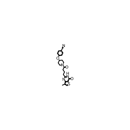 Cc1csc2c(=O)[nH]c(CCCC(=O)N3CCC(Oc4ccc(C#N)cc4)CC3)nc12